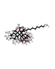 CCCCCCCCCCCCCC(C(=O)O)(C1CC(C)(C)N(C)C(C)(C)C1)C(C(=O)O)(C1CC(C)(C)N(C)C(C)(C)C1)C(CC(=O)O)(C(=O)O)C1CC(C)(C)N(C)C(C)(C)C1